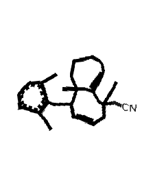 Cc1cccc(C)c1C1C=CCC(C)(C#N)C2=CCCCC21C